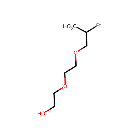 CCC(COCCOCCO)C(=O)O